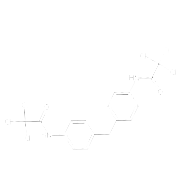 O=C(Nc1ccc(Cc2ccc(NC(=O)C(Cl)(Cl)Cl)cc2)cc1)C(Cl)(Cl)Cl